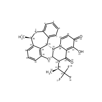 C[C@H]1Sc2ccccc2[C@H](N2CN([C@H](C)C(F)(F)F)C(=O)c3c(O)c(=O)ccn32)c2c(Cl)cccc21